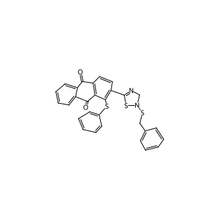 O=C1c2ccccc2C(=O)c2c1ccc(C1=NCN(SCc3ccccc3)S1)c2Sc1ccccc1